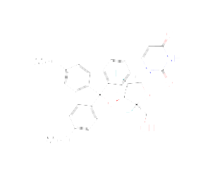 COc1ccc(C(O[C@H]2[C@H](F)[C@H](n3ccc(=O)[nH]c3=O)O[C@]2(F)CO)(c2ccccc2)c2ccc(OC)cc2)cc1